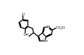 CCOC(=O)c1cc2[nH]cc(C(C)Cc3cc(Cl)ccc3O)c2cn1